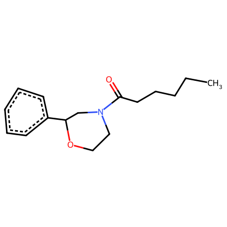 CCCCCC(=O)N1CCOC(c2ccccc2)C1